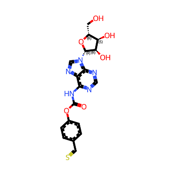 O=C(Nc1ncnc2c1ncn2[C@@H]1O[C@H](CO)[C@@H](O)[C@H]1O)Oc1ccc(C=S)cc1